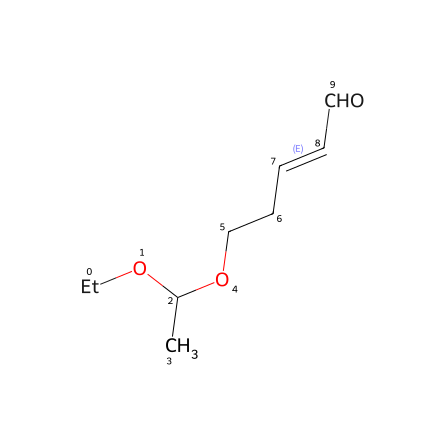 CCOC(C)OCC/C=C/C=O